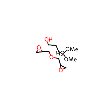 C(OCC1CO1)C1CO1.CO[SiH](CCCO)OC